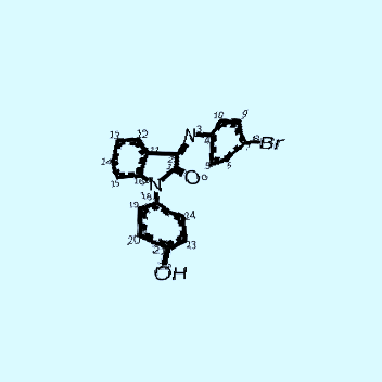 O=C1C(=Nc2ccc(Br)cc2)c2ccccc2N1c1ccc(O)cc1